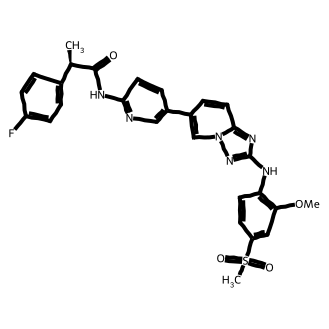 COc1cc(S(C)(=O)=O)ccc1Nc1nc2ccc(-c3ccc(NC(=O)[C@H](C)c4ccc(F)cc4)nc3)cn2n1